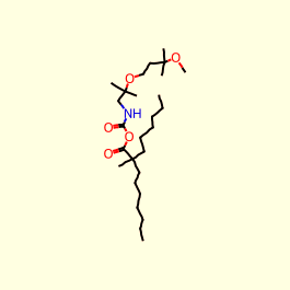 CCCCCCCC(C)(CCCCCC)C(=O)OC(=O)NCC(C)(C)OCCC(C)(C)OC